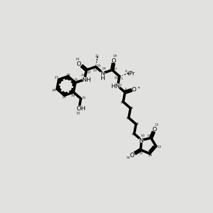 CC(C)[C@H](NC(=O)CCCCCN1C(=O)C=CC1=O)C(=O)N[C@@H](C)C(=O)Nc1ccccc1CO